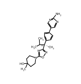 CC(C)[C@@](C)(c1ccc(-c2cnc(N)nc2)cc1)c1noc(N2CCC(C)(O)CC2)n1